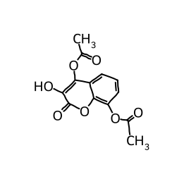 CC(=O)Oc1c(O)c(=O)oc2c(OC(C)=O)cccc12